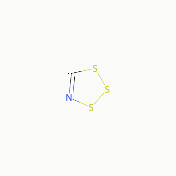 [C]1=NSSS1